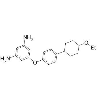 CCOC1CCC(c2ccc(Oc3cc(N)cc(N)c3)cc2)CC1